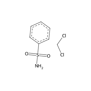 ClCCl.NS(=O)(=O)c1ccccc1